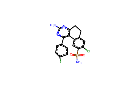 Nc1nc2c(c(-c3ccc(F)cc3)n1)-c1cc(S(N)(=O)=O)c(Cl)cc1CC2